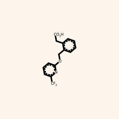 O=C(O)Cc1ccccc1COc1cccc(C(F)(F)F)n1